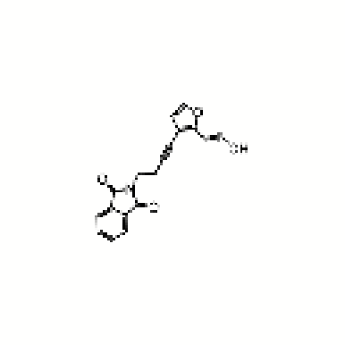 O=C1c2ccccc2C(=O)N1CCC#Cc1ccoc1/C=N/O